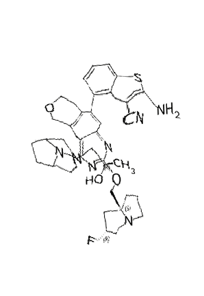 C[C@@H](O)CN1CC2CCC(C1)N2c1nc(OC[C@@]23CCCN2C[C@H](F)C3)nc2cc(-c3cccc4sc(N)c(C#N)c34)c3c(c12)COC3